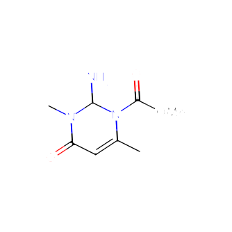 COC(=O)N1C(C)=CC(=O)N(C)C1N